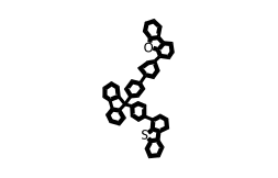 c1ccc2c(c1)-c1ccccc1C2(c1ccc(-c2ccc(-c3cccc4c3oc3ccccc34)cc2)cc1)c1ccc(-c2cccc3c2sc2ccccc23)cc1